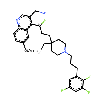 COc1ccc2ncc(CN)c([C@@H](F)CCC3(CC(=O)O)CCN(CCCc4cc(F)cc(F)c4F)CC3)c2c1